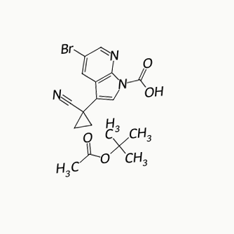 CC(=O)OC(C)(C)C.N#CC1(c2cn(C(=O)O)c3ncc(Br)cc23)CC1